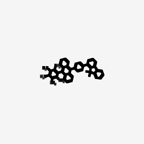 Bc1c(B)c(B)c(-c2c3ccccc3c(-c3ccc(-c4cccc5c4C(C)(C)c4ccccc4-5)cc3)c3ccccc23)c(B)c1B